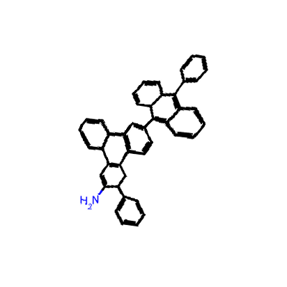 NC1=CC2=C(CC1c1ccccc1)c1ccc(C3=c4ccccc4=C(c4ccccc4)C4C=CC=CC34)cc1C1C=CC=CC21